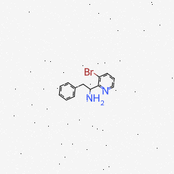 NC(Cc1ccccc1)c1ncccc1Br